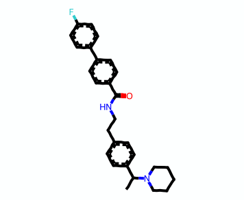 CC(c1ccc(CCNC(=O)c2ccc(-c3ccc(F)cc3)cc2)cc1)N1CCCCC1